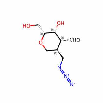 [N-]=[N+]=NC[C@H]1CO[C@H](CO)[C@H](O)[C@@H]1C=O